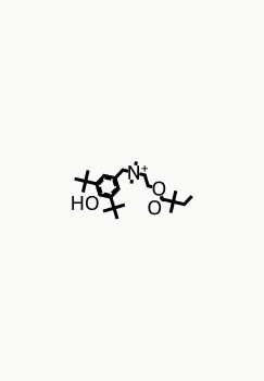 CCC(C)(C)C(=O)OCC[N+](C)(C)Cc1cc(C(C)(C)C)c(O)c(C(C)(C)C)c1